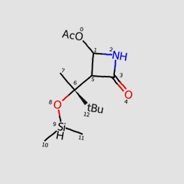 CC(=O)OC1NC(=O)C1[C@@](C)(O[SiH](C)C)C(C)(C)C